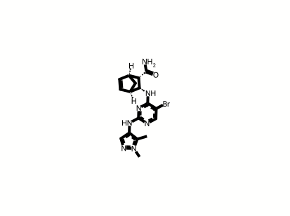 Cc1c(Nc2ncc(Br)c(N[C@H]3[C@@H](C(N)=O)[C@@H]4C=C[C@H]3C4)n2)cnn1C